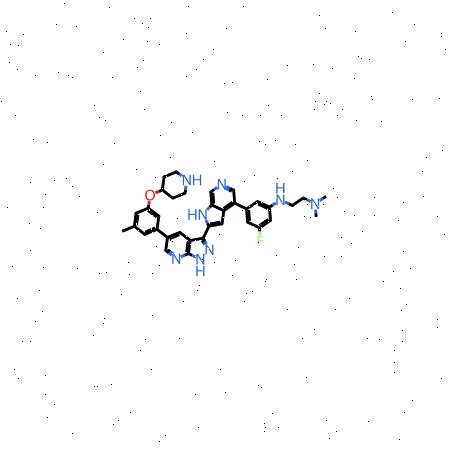 Cc1cc(OC2CCNCC2)cc(-c2cnc3[nH]nc(-c4cc5c(-c6cc(F)cc(NCCN(C)C)c6)cncc5[nH]4)c3c2)c1